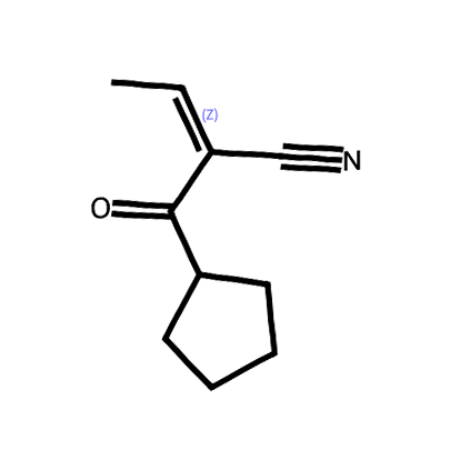 C/C=C(/C#N)C(=O)C1CCCC1